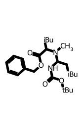 CCC(C)CC(NC(=O)OC(C)(C)C)N(C)C(C(=O)OCc1ccccc1)C(C)CC